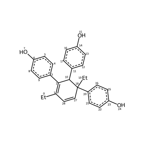 CCC1=C(c2ccc(O)cc2)C(c2ccc(O)cc2)C(CC)(c2ccc(O)cc2)C=C1